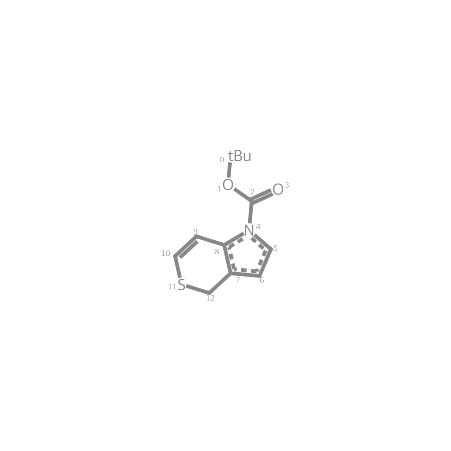 CC(C)(C)OC(=O)n1ccc2c1C=CSC2